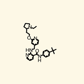 CCN1CCCC1CCOc1cc(CNc2ncccc2C(=O)Nc2ccc(C(C)(C)C)cc2)ccn1